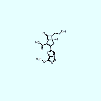 CSc1ncn2cc(C3=C(C(=O)O)N4C(=O)[C@@H](CCO)[C@H]4C3)sc12